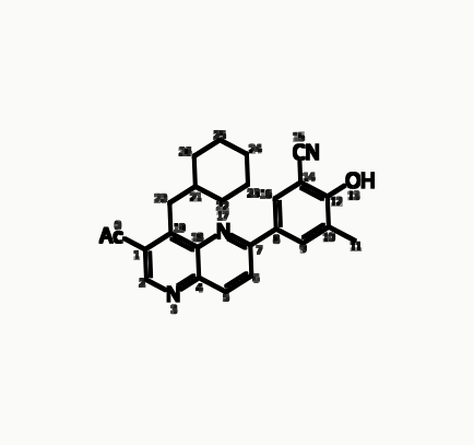 CC(=O)c1cnc2ccc(-c3cc(C)c(O)c(C#N)c3)nc2c1CC1CCCCC1